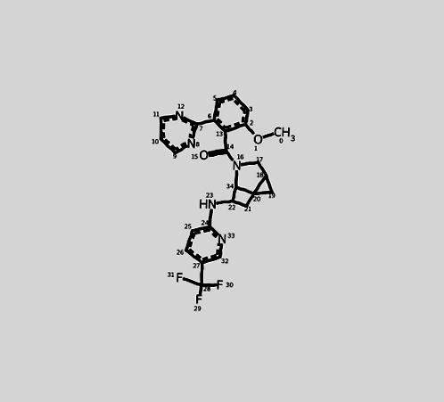 COc1cccc(-c2ncccn2)c1C(=O)N1CC2CC23CC(Nc2ccc(C(F)(F)F)cn2)C13